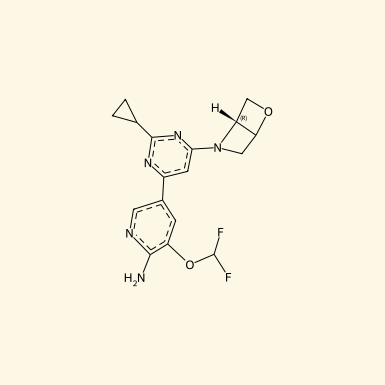 Nc1ncc(-c2cc(N3CC4OC[C@H]43)nc(C3CC3)n2)cc1OC(F)F